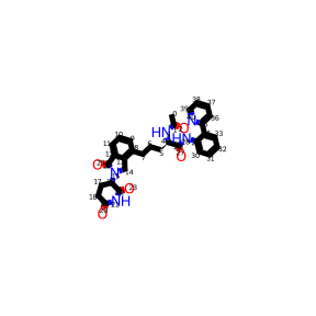 CC(=O)N[C@@H](CCCc1cccc2c1CN(C1CCC(=O)NC1=O)C2=O)C(=O)Nc1ccccc1-c1ccccn1